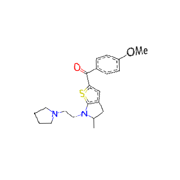 COc1ccc(C(=O)c2cc3c(s2)N(CCN2CCCC2)C(C)C3)cc1